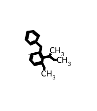 CCc1cc[c]c(Cc2ccccc2)c1C(C)CC